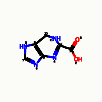 O=C(O)C1=Nc2nc[nH]c2CN1